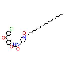 CCC=CCC=CCC=CCC=CCC=CCCCC(=O)N1CCC(CNC(=O)C(C)(C)Oc2ccc(C(=O)c3ccc(Cl)cc3)cc2)CC1